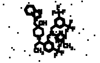 CCC(c1ccc(C(F)(F)F)cc1CN(Cc1cc(C(F)(F)F)cc(C(F)(F)F)c1)c1nnn(C)n1)N1CCC(O)(Cn2cnc3ccccc32)CC1